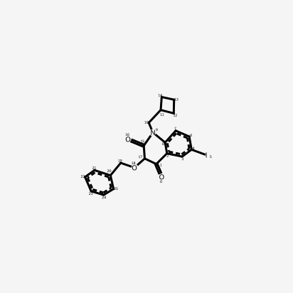 O=C1c2cc(I)ccc2N(CC2CCC2)C(=O)C1OCc1ccccc1